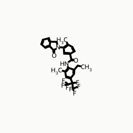 CCc1cc(C(F)(C(F)(F)F)C(F)(F)F)cc(C)c1NC(=O)c1ccc(C)c(N2Cc3ccccc3C2=O)c1